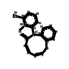 C=C1/C=C\C=C/Cc2ccccc2N1c1cccc(CC)[n+]1C